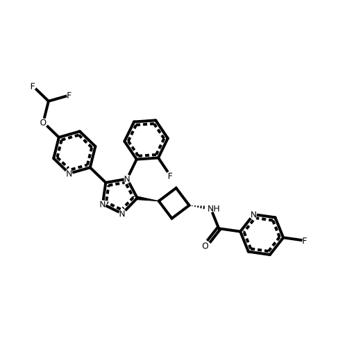 O=C(N[C@H]1C[C@H](c2nnc(-c3ccc(OC(F)F)cn3)n2-c2ccccc2F)C1)c1ccc(F)cn1